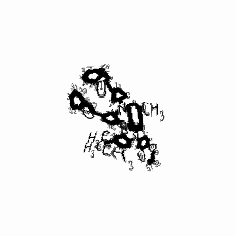 Cc1cc2c3c(c1)N(c1cccc(-c4cc5ccccc5o4)c1)c1cc(-c4cc5ccccc5o4)ccc1B3c1cc(C(C)(C)C)ccc1N2c1ccc2c(c1)OCCCO2